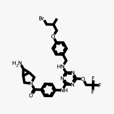 CC(CBr)COc1ccc(CNc2nc(Nc3ccc(C(=O)N4CC5C(N)C5C4)cc3)nc(OCC(F)(F)F)n2)cc1